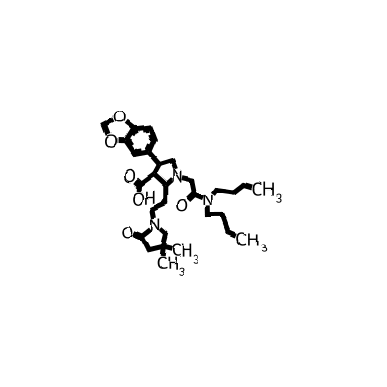 CCCCN(CCCC)C(=O)CN1CC(c2ccc3c(c2)OCO3)C(C(=O)O)C1CCN1CC(C)(C)CC1=O